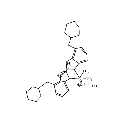 CC1=Cc2c(CC3CCCCC3)cccc2[CH]1[Zr]([CH3])([CH3])(=[SiH2])[CH]1C(C)=Cc2c(CC3CCCCC3)cccc21.Cl.Cl